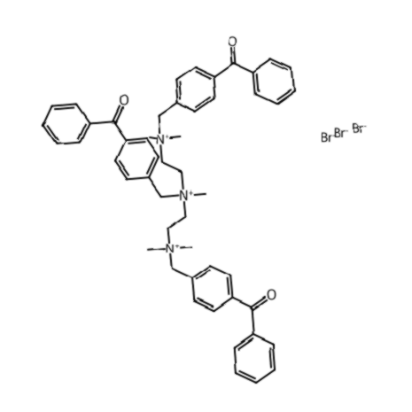 C[N+](C)(CC[N+](C)(CC[N+](C)(C)Cc1ccc(C(=O)c2ccccc2)cc1)Cc1ccc(C(=O)c2ccccc2)cc1)Cc1ccc(C(=O)c2ccccc2)cc1.[Br-].[Br-].[Br-]